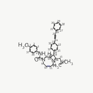 Cc1ccc(NC(=O)N2C/C=C\CN3[C@H](CN(C)C)C(c4ccc(C#Cc5ccccc5)cc4)[C@@H]3C2)cc1